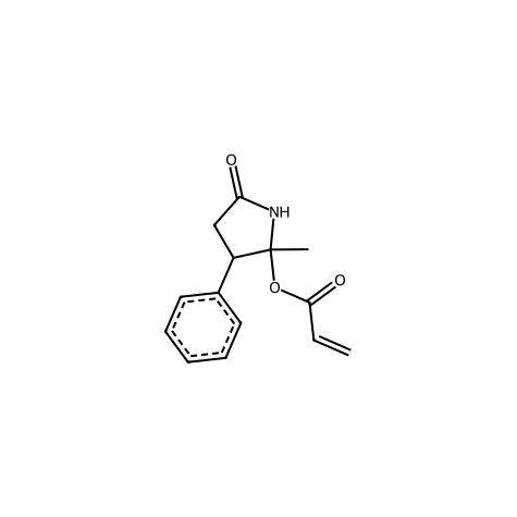 C=CC(=O)OC1(C)NC(=O)CC1c1ccccc1